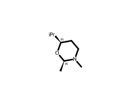 CC(C)[C@H]1CCN(C)[C@@H](C)O1